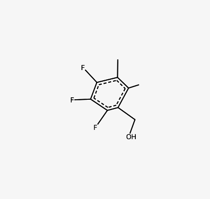 Cc1c(C)c(CO)c(F)c(F)c1F